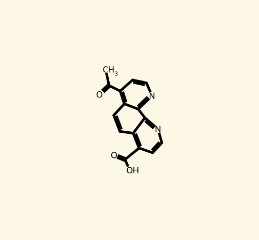 CC(=O)c1ccnc2c1ccc1c(C(=O)O)ccnc12